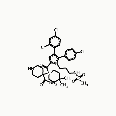 CC1(C)CC[N+](C(=O)c2cc(-c3ccc(Cl)cc3Cl)c(-c3ccc(Cl)cc3)n2CCCNS(C)(=O)=O)(C2(C(N)=O)CCNCC2)CC1